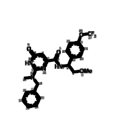 COCC(NC(=O)c1cc(=O)[nH]c(N(C)Cc2ccccc2)n1)c1ccc(OC(F)(F)F)cc1